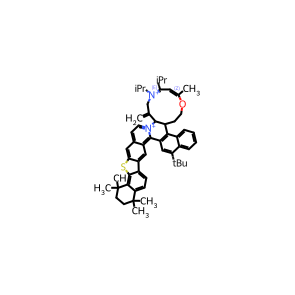 C=C1C/[N+](C(C)C)=C(C(C)C)\C=C(\C)OCCC2c3c(cc(C(C)(C)C)c4ccccc34)-c3c4cc5c(cc4cc[n+]3C12)sc1c2c(ccc15)C(C)(C)CCC2(C)C